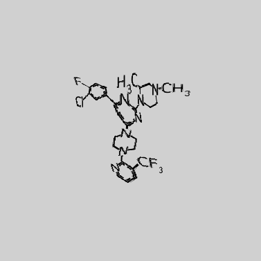 CC1CN(C)CCN1c1nc(-c2ccc(F)c(Cl)c2)cc(N2CCN(c3ncccc3C(F)(F)F)CC2)n1